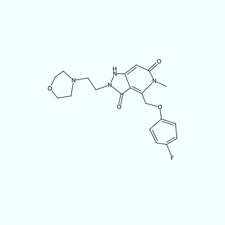 Cn1c(COc2ccc(F)cc2)c2c(=O)n(CCN3CCOCC3)[nH]c2cc1=O